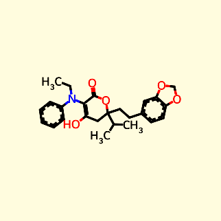 CCN(C1=C(O)CC(CCc2ccc3c(c2)OCO3)(C(C)C)OC1=O)c1ccccc1